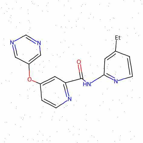 CCc1ccnc(NC(=O)c2cc(Oc3cncnc3)ccn2)c1